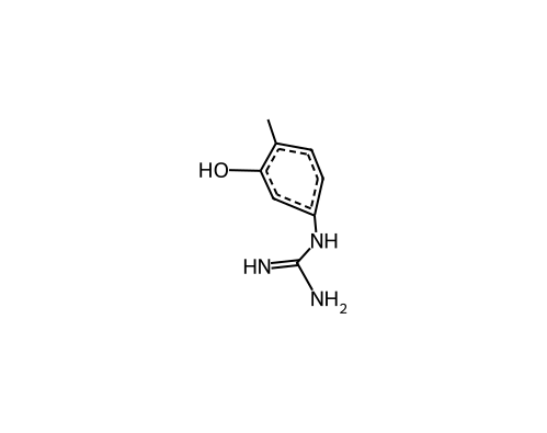 Cc1ccc(NC(=N)N)cc1O